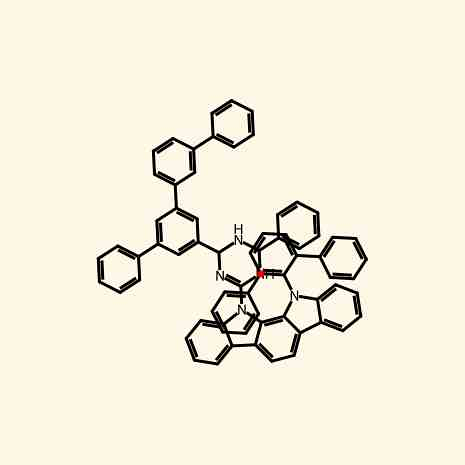 c1ccc(-c2cccc(-c3cc(-c4ccccc4)cc(C4N=C(n5c6ccccc6c6ccc7c8ccccc8n(-c8c(-c9ccccc9)cccc8-c8ccccc8)c7c65)NC(c5ccccc5)N4)c3)c2)cc1